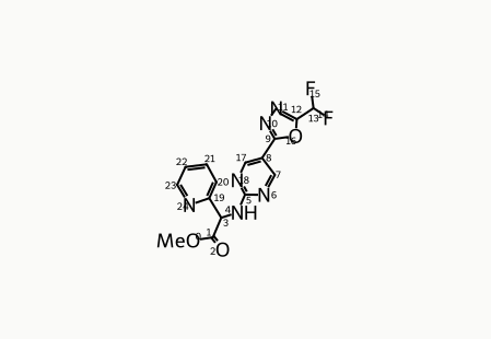 COC(=O)C(Nc1ncc(-c2nnc(C(F)F)o2)cn1)c1ccccn1